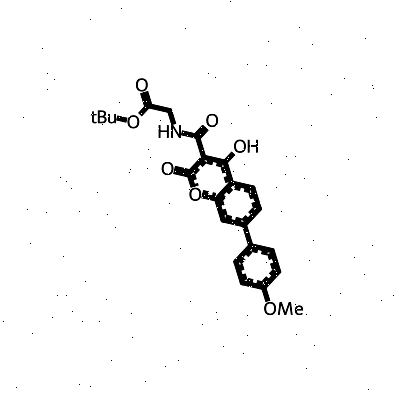 COc1ccc(-c2ccc3c(O)c(C(=O)NCC(=O)OC(C)(C)C)c(=O)oc3c2)cc1